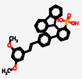 COc1cc(/C=C/c2ccc(-c3cccc(P(=O)(O)O)c3C3c4ccccc4-c4ccccc43)cc2)cc(OC)c1